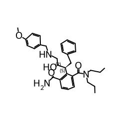 CCCN(CCC)C(=O)c1cccc(C(N)=O)c1[C@H](Cc1ccccc1)[C@@H](O)CNCc1ccc(OC)cc1